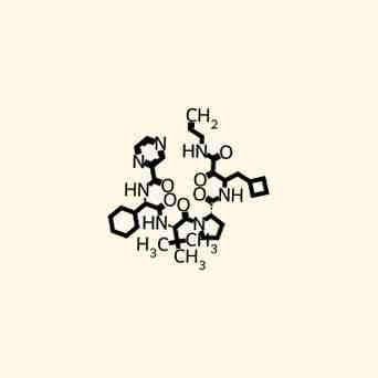 C=CCNC(=O)C(=O)C(CC1CCC1)NC(=O)[C@@H]1CCCN1C(=O)[C@@H](NC(=O)[C@@H](NC(=O)c1cnccn1)C1CCCCC1)C(C)(C)C